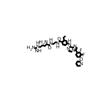 CCc1cc(Nc2nccn3c(-c4ccc(Oc5ccccn5)c(F)c4F)cnc23)ccc1C(=O)NCCNC(=O)C(N)CCCNC(=N)N